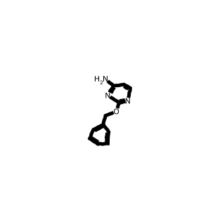 Nc1ccnc(OCc2ccccc2)n1